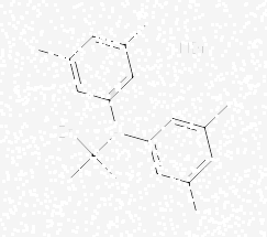 Br.CCC(C)(C)P(c1cc(C)cc(C)c1)c1cc(C)cc(C)c1